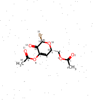 CC(=O)OC[C@@H]1C=C(OC(C)=O)C(=O)[C@@H](Br)O1